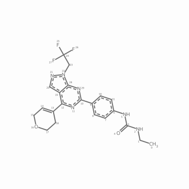 CCNC(=O)Nc1ccc(-c2nc(C3=CCOCC3)c3cnn(CC(F)(F)F)c3n2)cc1